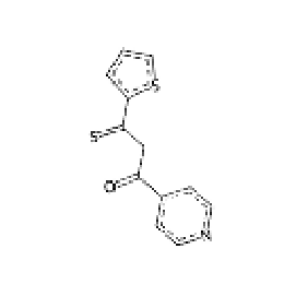 O=C(CC(=S)c1cccs1)c1ccncc1